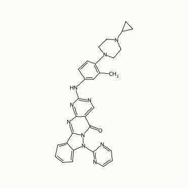 Cc1cc(Nc2ncc3c(=O)n4c(nc3n2)c2ccccc2n4-c2ncccn2)ccc1N1CCN(C2CC2)CC1